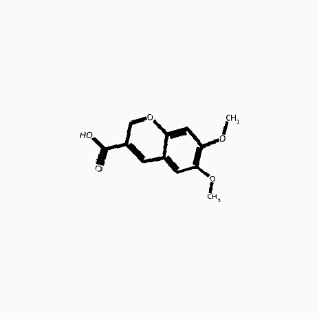 COc1cc2c(cc1OC)OCC(C(=O)O)=C2